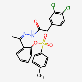 CC(=NNC(=O)Cc1ccc(Cl)c(Cl)c1)c1ccccc1OS(=O)(=O)c1ccc(C(F)(F)F)cc1